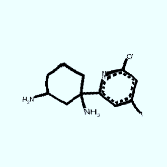 NC1CCCC(N)(c2cc(I)cc(Cl)n2)C1